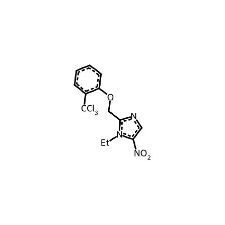 CCn1c([N+](=O)[O-])cnc1COc1ccccc1C(Cl)(Cl)Cl